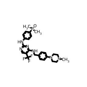 CN1CCN(c2ccc(CNc3nc(Nc4ccc(P(C)(C)=O)cc4)ncc3C(F)(F)F)cc2)CC1